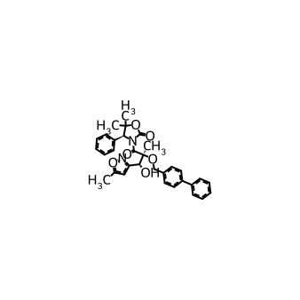 Cc1cc([C@H](O)[C@](C)(OCc2ccc(-c3ccccc3)cc2)C(=O)N2C(=O)OC(C)(C)[C@@H]2c2ccccc2)no1